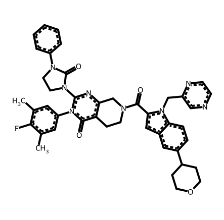 Cc1cc(-n2c(N3CCN(c4ccccc4)C3=O)nc3c(c2=O)CCN(C(=O)c2cc4cc(C5CCOCC5)ccc4n2Cc2cnccn2)C3)cc(C)c1F